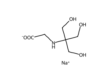 O=C([O-])CNC(CO)(CO)CO.[Na+]